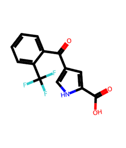 O=C(O)c1cc(C(=O)c2ccccc2C(F)(F)F)c[nH]1